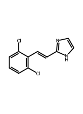 Clc1cccc(Cl)c1/C=C/c1ncc[nH]1